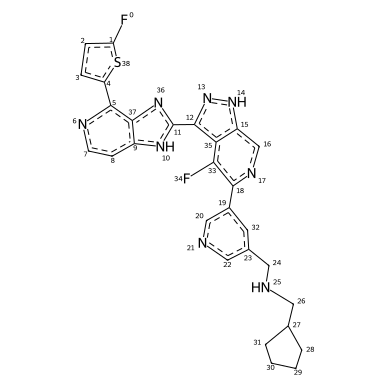 Fc1ccc(-c2nccc3[nH]c(-c4n[nH]c5cnc(-c6cncc(CNCC7CCCC7)c6)c(F)c45)nc23)s1